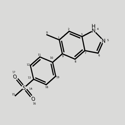 Cc1cc2[nH]ncc2cc1-c1ccc(S(C)(=O)=O)cc1